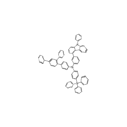 c1ccc(-c2ccc(-c3ccc(N(c4ccc([Si](c5ccccc5)(c5ccccc5)c5ccccc5)cc4)c4cccc(-c5cccc6c5c5ccccc5n6-c5ccccc5)c4)cc3)c(-c3ccccc3)c2)cc1